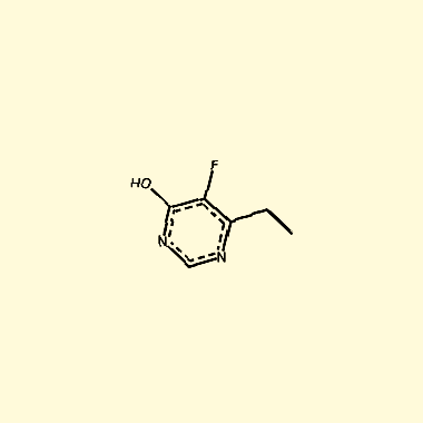 CCc1ncnc(O)c1F